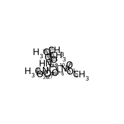 CCOC(=O)N1CCC2(CC1)C[C@H](NC(=O)OC(C)(C)C)c1nc(OC)ccc1O2